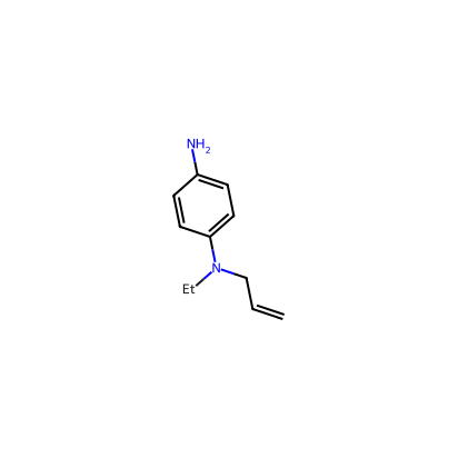 C=CCN(CC)c1ccc(N)cc1